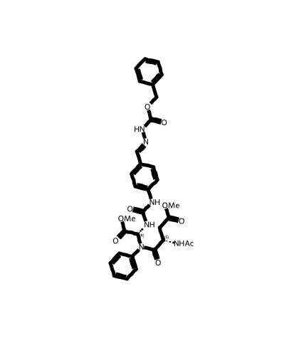 COC(=O)C[C@H](NC(C)=O)C(=O)N(c1ccccc1)[C@@H](NC(=O)Nc1ccc(C=NNC(=O)OCc2ccccc2)cc1)C(=O)OC